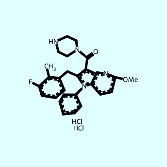 COc1ccc2c(n1)c(C(=O)N1CCNCC1)c(Cc1cccc(F)c1C)n2-c1ccccc1.Cl.Cl